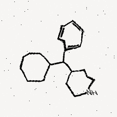 c1ccc(C(C2CCCCC2)C2CCNCC2)cc1